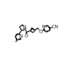 Cc1ccc(C2CC=NN2C(=O)C23CC(COc4ccc(C#N)cn4)(C2)C3)nc1